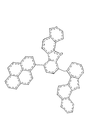 c1ccc2c(c1)ccc1c2oc2c(-c3cccc4sc5c6ccccc6ccc5c34)ccc(-c3ccc4ccc5cccc6ccc3c4c56)c21